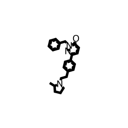 CC1CCCN1CCc1ccc(-c2ccc(=O)n(Cc3ccccc3)n2)cc1